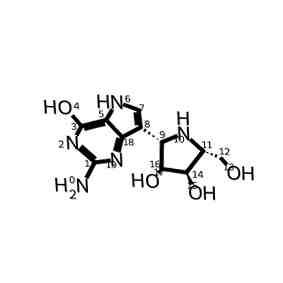 Nc1nc(O)c2[nH]cc([C@@H]3N[C@H](CO)[C@@H](O)[C@H]3O)c2n1